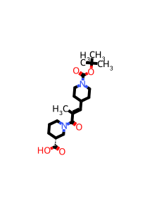 C/C(=C\C1CCN(C(=O)OC(C)(C)C)CC1)C(=O)N1CCC[C@@H](C(=O)O)C1